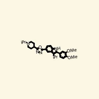 COc1ccc(-c2[nH]c3ccc(-c4nnc(C5CCN(C(C)C)CC5)o4)cc3c2C(C)C)cc1OC